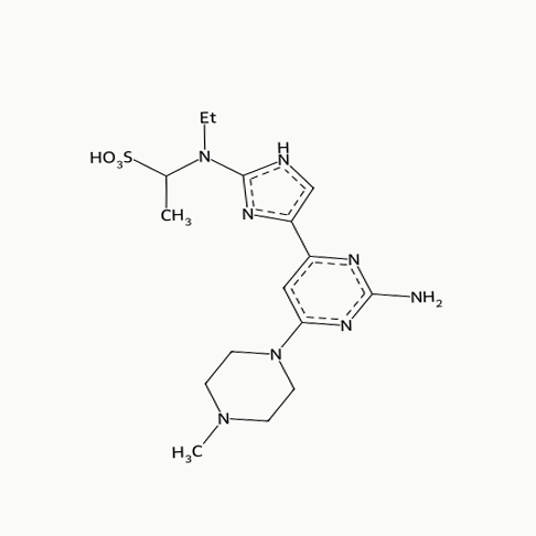 CCN(c1nc(-c2cc(N3CCN(C)CC3)nc(N)n2)c[nH]1)C(C)S(=O)(=O)O